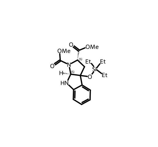 CC[Si](CC)(CC)OC12C[C@@H](C(=O)OC)N(C(=O)OC)[C@@H]1Nc1ccccc12